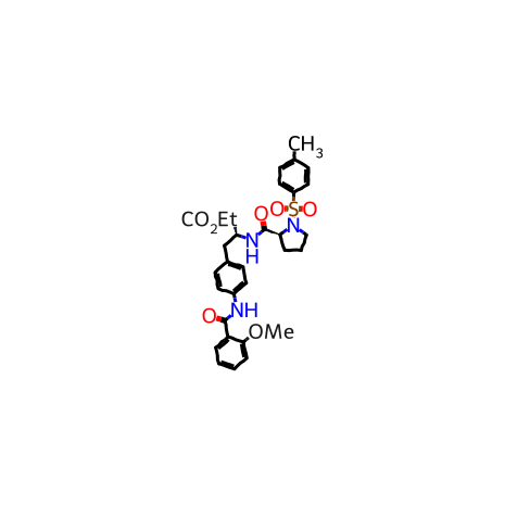 CCOC(=O)[C@H](Cc1ccc(NC(=O)c2ccccc2OC)cc1)NC(=O)[C@@H]1CCCN1S(=O)(=O)c1ccc(C)cc1